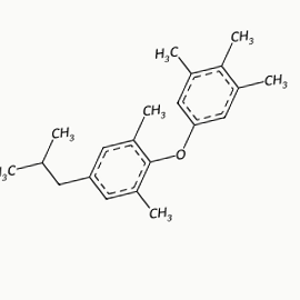 Cc1cc(Oc2c(C)cc(CC(C)C)cc2C)cc(C)c1C